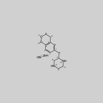 Br.Br.c1cc2c(cc1CC1CNCCN1)CCOO2